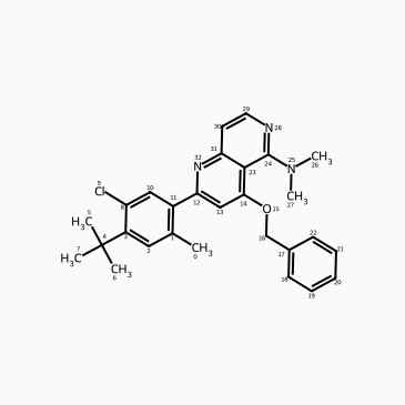 Cc1cc(C(C)(C)C)c(Cl)cc1-c1cc(OCc2ccccc2)c2c(N(C)C)nccc2n1